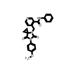 O=C(Nc1ccccc1)c1cnccc1CN1C(=O)N(c2ccc(OC(F)(F)F)cc2)C(=O)C12CC2